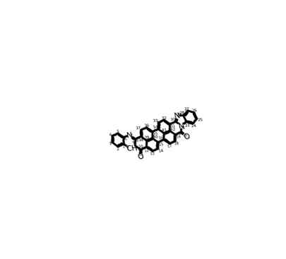 Cc1ccccc1/N=C1\CC(=O)c2ccc3c4ccc5c(=O)n6c7ccccc7nc6c6ccc(c7ccc1c2c37)c4c56